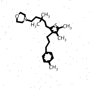 Cc1ccc(CCCc2c(CCC(C)(C)CCN3CCOCC3)sc(C)c2C)cc1